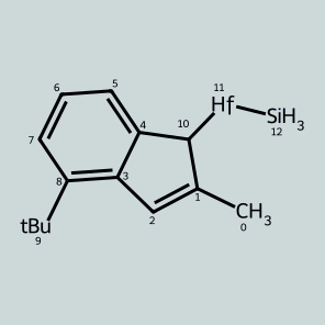 CC1=Cc2c(cccc2C(C)(C)C)[CH]1[Hf][SiH3]